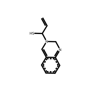 C=CC(S)N1C=c2ccccc2=NC1